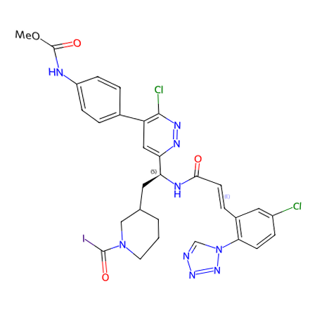 COC(=O)Nc1ccc(-c2cc([C@H](CC3CCCN(C(=O)I)C3)NC(=O)/C=C/c3cc(Cl)ccc3-n3cnnn3)nnc2Cl)cc1